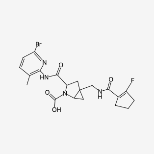 Cc1ccc(Br)nc1NC(=O)C1CC2(CNC(=O)C3=C(F)CCC3)CC2N1C(=O)O